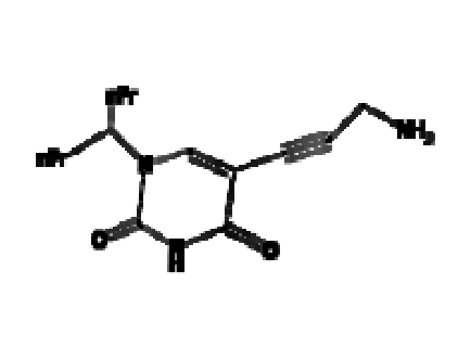 CCCC(CCC)n1cc(C#CCN)c(=O)[nH]c1=O